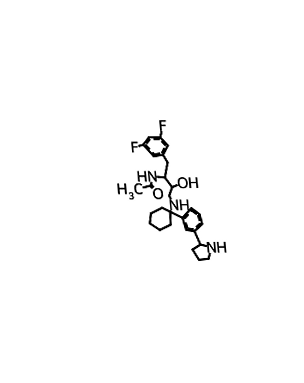 CC(=O)NC(Cc1cc(F)cc(F)c1)C(O)CNC1(c2cccc(C3CCCN3)c2)CCCCC1